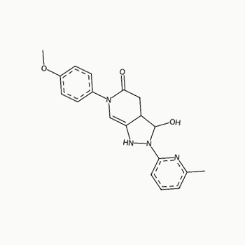 COc1ccc(N2C=C3NN(c4cccc(C)n4)C(O)C3CC2=O)cc1